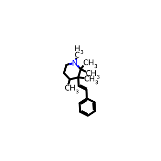 CC1CCN(C)C(C)(C)C1(C)C=Cc1ccccc1